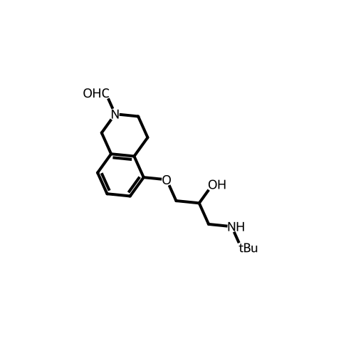 CC(C)(C)NCC(O)COc1cccc2c1CCN(C=O)C2